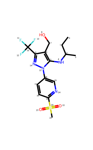 CCC(C)Nc1c(CO)c(C(F)(F)F)nn1-c1ccc(S(C)(=O)=O)nc1